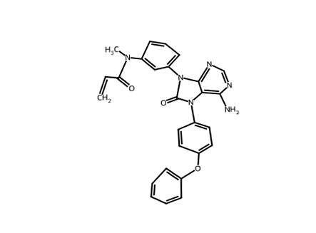 C=CC(=O)N(C)c1cccc(-n2c(=O)n(-c3ccc(Oc4ccccc4)cc3)c3c(N)ncnc32)c1